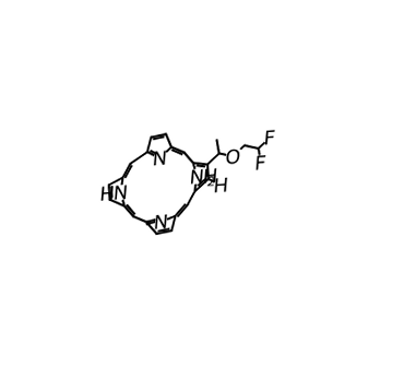 [2H]c1c(C(C)OCC(F)F)c2cc3nc(cc4ccc(cc5nc(cc1[nH]2)C=C5)[nH]4)C=C3